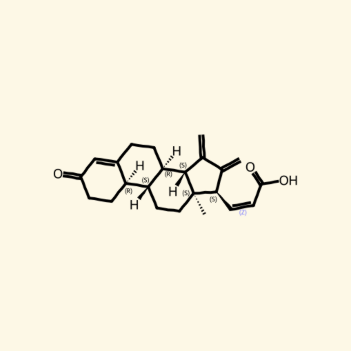 C=C1C(=C)[C@H]2[C@@H]3CCC4=CC(=O)CC[C@@H]4[C@H]3CC[C@]2(C)[C@@H]1/C=C\C(=O)O